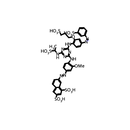 COc1cc(N=Nc2ccc3cc(S(=O)(=O)O)cc(S(=O)(=O)O)c3c2)ccc1Nc1nc(Nc2ccc(/N=N\c3cccc(S(=O)(=O)O)c3)cc2OCCCS(=O)(=O)O)nc(NC(C)S(=O)(=O)O)n1